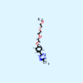 CCOCCOCCOCCOc1ccc(-c2nnc(C)nn2)cc1